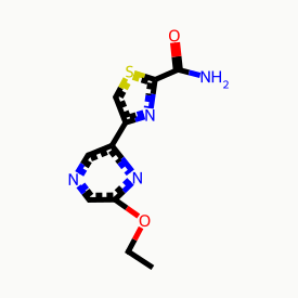 CCOc1cncc(-c2csc(C(N)=O)n2)n1